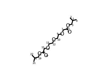 CC(C)COC(=O)COCCOCCOCC(=O)OCC(C)C